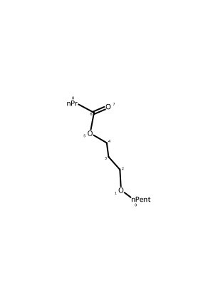 CCCCCOCCCOC(=O)CCC